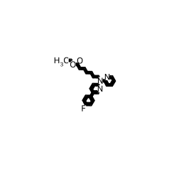 CCOC(=O)CCCCCCN(c1ccccn1)c1ccc(-c2ccc(F)cc2)cn1